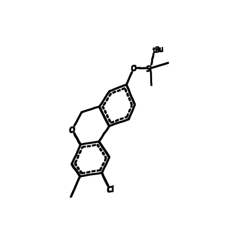 Cc1cc2c(cc1Cl)-c1ccc(O[Si](C)(C)C(C)(C)C)cc1CO2